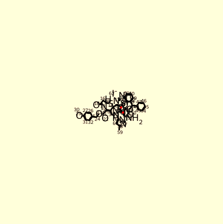 CON=CC(=O)NC1(c2csc(N)n2)S[C@H]2CC(=O)N2C(C(=O)OCc2ccc(OC)cc2)=C1C[n+]1cc(C(=O)OC(c2ccccc2)c2ccccc2)c(N)n2nc(C)cc21.[I-]